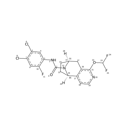 O=C(Nc1cc(Cl)c(Cl)cc1F)N1[C@H]2CC[C@@H]1c1ccnc(OC(F)F)c1C2